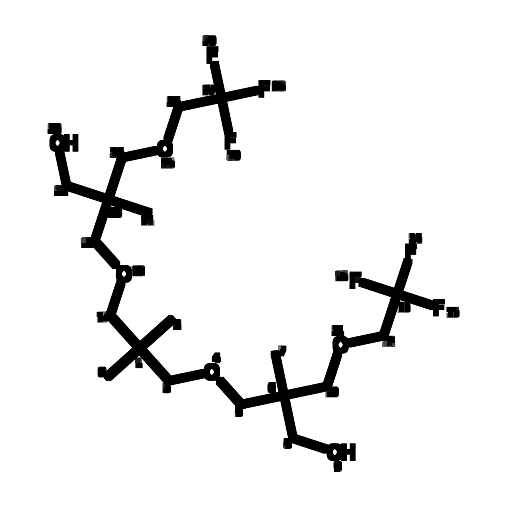 CC(C)(COCC(C)(CO)COCC(F)(F)F)COCC(C)(CO)COCC(F)(F)F